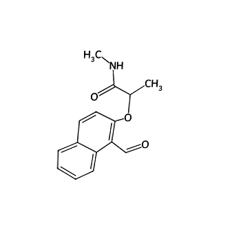 CNC(=O)C(C)Oc1ccc2ccccc2c1C=O